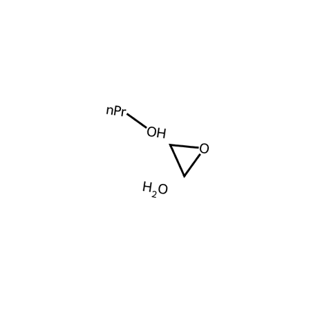 C1CO1.CCCO.O